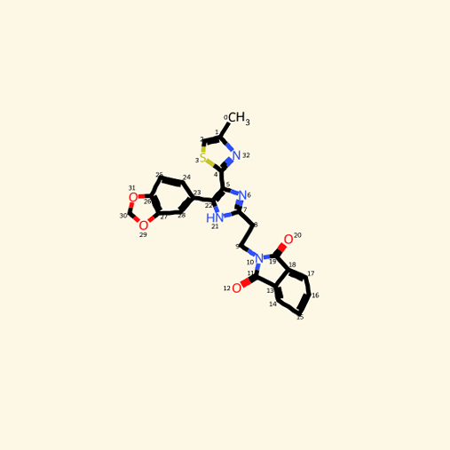 Cc1csc(-c2nc(CCN3C(=O)c4ccccc4C3=O)[nH]c2-c2ccc3c(c2)OCO3)n1